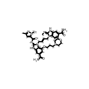 CCn1nc(C)cc1C(=O)/N=c1/[nH]c2cc(C(N)=O)cc(OCCCN3CCOCC3)c2n1C/C=C/Cn1/c(=N\C)[nH]c2cc(C(N)=O)ccc21